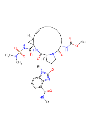 CCNC(=O)c1cccc2c1nc(O[C@@H]1C[C@H]3C(=O)N[C@]4(C(=O)NS(=O)(=O)N(C)C)C[C@H]4/C=C\CCCCC[C@H](NC(=O)OC(C)(C)C)C(=O)N3C1)n2C(C)C